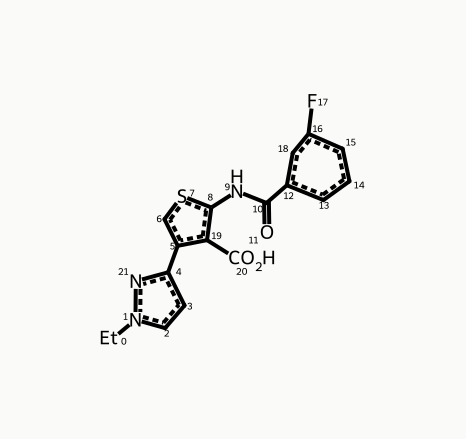 CCn1ccc(-c2csc(NC(=O)c3cccc(F)c3)c2C(=O)O)n1